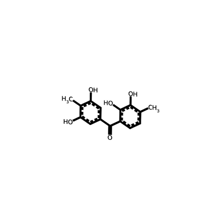 Cc1ccc(C(=O)c2cc(O)c(C)c(O)c2)c(O)c1O